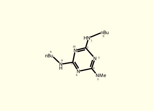 CCCCNc1nc(NC)nc(NCCCC)n1